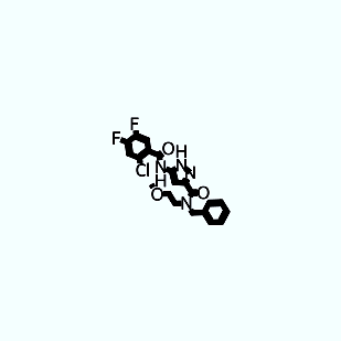 COCCN(Cc1ccccc1)C(=O)c1cc(NC(=O)c2cc(F)c(F)cc2Cl)[nH]n1